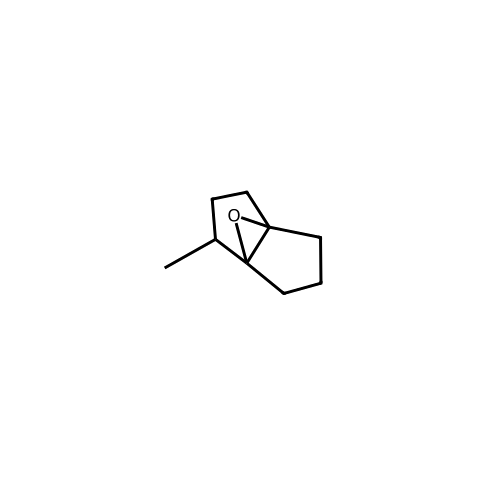 CC1CCC23CCCC12O3